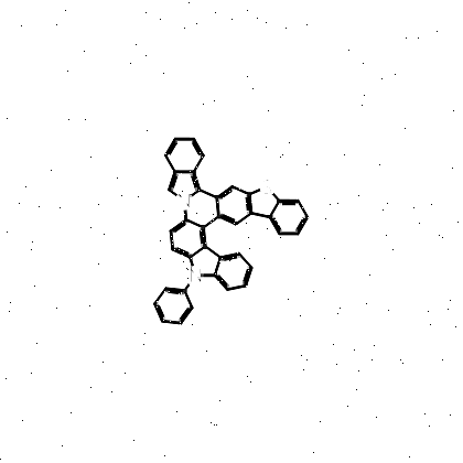 c1ccc(-n2c3ccccc3c3c4c5cc6c(cc5c5c7ccccc7cn5c4ccc32)sc2ccccc26)cc1